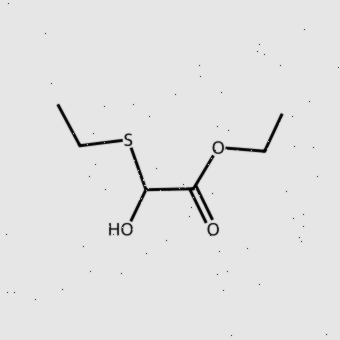 CCOC(=O)C(O)SCC